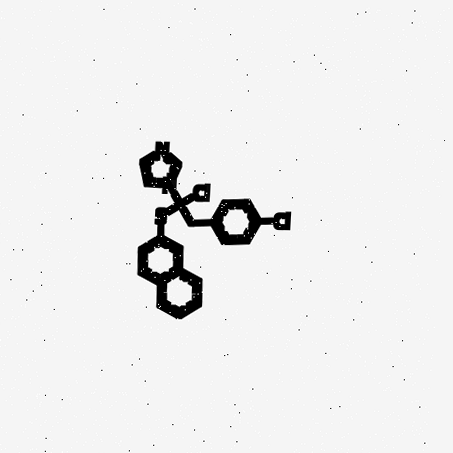 Clc1ccc(CC(Cl)(Sc2ccc3ccccc3c2)n2ccnc2)cc1